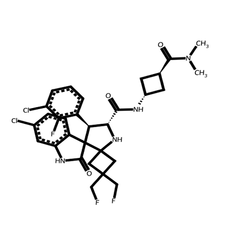 CN(C)C(=O)[C@H]1C[C@H](NC(=O)[C@@H]2NC3(CC(CF)(CF)C3)C3(C(=O)Nc4cc(Cl)ccc43)[C@H]2c2cccc(Cl)c2F)C1